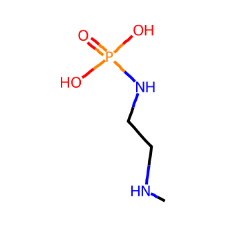 CNCCNP(=O)(O)O